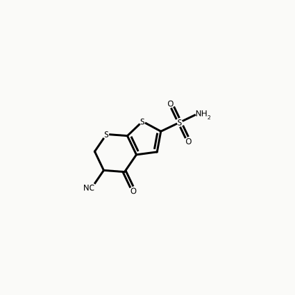 N#CC1CSc2sc(S(N)(=O)=O)cc2C1=O